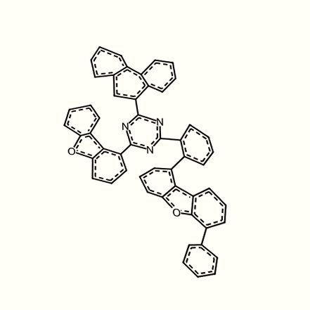 c1ccc(-c2cccc3c2oc2cccc(-c4ccccc4-c4nc(-c5cc6ccccc6c6ccccc56)nc(-c5cccc6oc7ccccc7c56)n4)c23)cc1